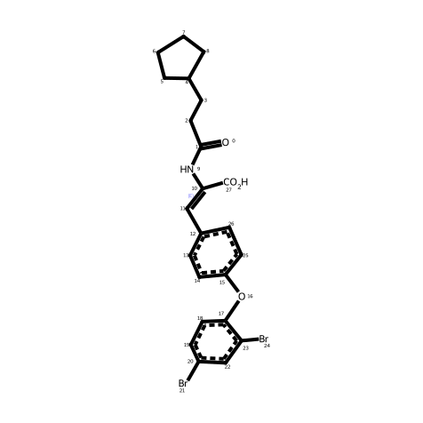 O=C(CCC1CCCC1)N/C(=C/c1ccc(Oc2ccc(Br)cc2Br)cc1)C(=O)O